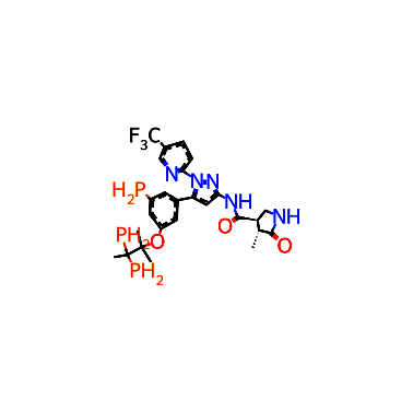 C[C@H]1C(=O)NC[C@@H]1C(=O)Nc1cc(-c2cc(P)cc(OC(C)(C)C(C)(P)P)c2)n(-c2ccc(C(F)(F)F)cn2)n1